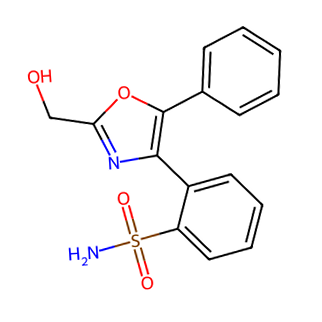 NS(=O)(=O)c1ccccc1-c1nc(CO)oc1-c1ccccc1